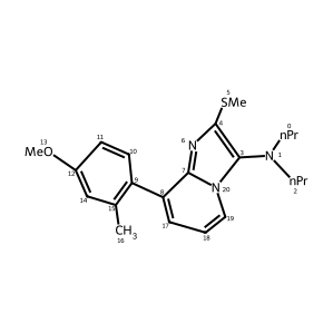 CCCN(CCC)c1c(SC)nc2c(-c3ccc(OC)cc3C)cccn12